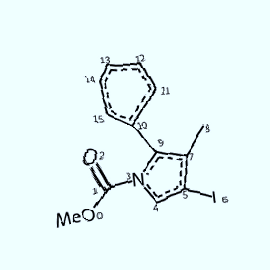 COC(=O)n1cc(I)c(C)c1-c1ccccc1